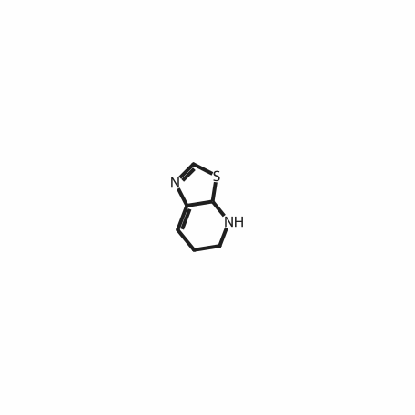 C1=NC2=CCCNC2S1